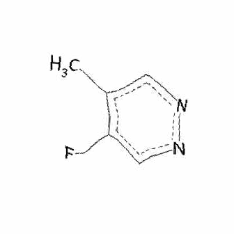 Cc1cnncc1F